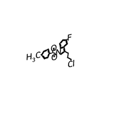 Cc1ccc(S(=O)(=O)n2cc(CCCCl)c3cc(F)ccc32)cc1